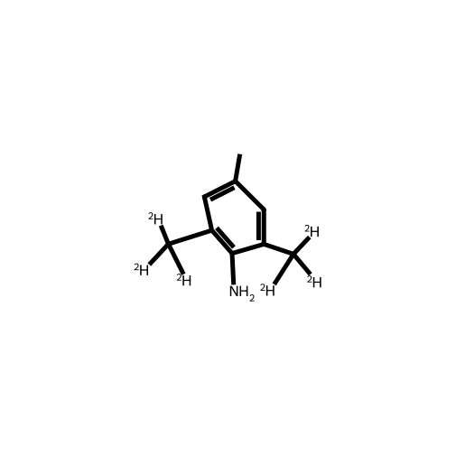 [2H]C([2H])([2H])c1cc(C)cc(C([2H])([2H])[2H])c1N